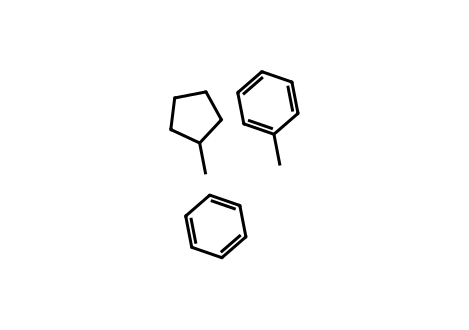 CC1CCCC1.Cc1ccccc1.c1ccccc1